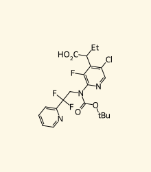 CCC(C(=O)O)c1c(Cl)cnc(N(CC(F)(F)c2ccccn2)C(=O)OC(C)(C)C)c1F